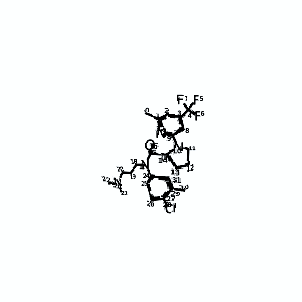 Cc1cc(C(F)(F)F)cc(N2CCC[C@H]2C(=O)N(CCCN(C)C)c2ccc(Cl)c(C)c2)n1